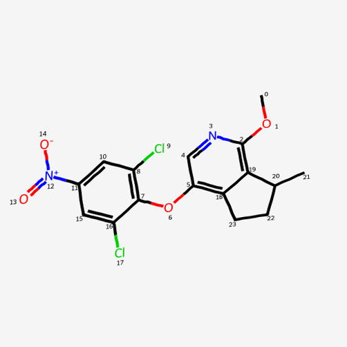 COc1ncc(Oc2c(Cl)cc([N+](=O)[O-])cc2Cl)c2c1C(C)CC2